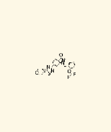 Cn1c(=O)c2ccc(-c3nsc(N4CCOCC4)n3)cc2n1Cc1ccccc1OC(F)F